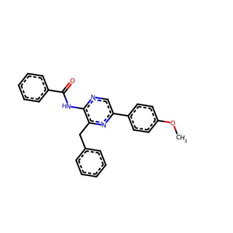 COc1ccc(-c2cnc(NC(=O)c3ccccc3)c(Cc3ccccc3)n2)cc1